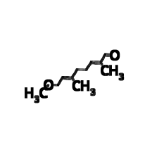 COC/C=C(\C)CC/C=C(\C)C=O